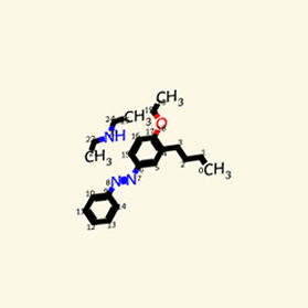 CCCCc1cc(N=Nc2ccccc2)ccc1OCC.CCNCC